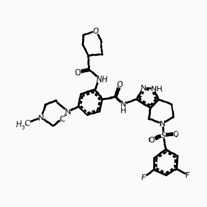 CN1CCN(c2ccc(C(=O)Nc3n[nH]c4c3CN(S(=O)(=O)c3cc(F)cc(F)c3)CC4)c(NC(=O)C3CCOCC3)c2)CC1